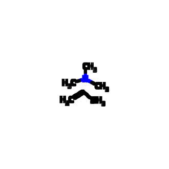 C=C[SiH3].CN(C)C